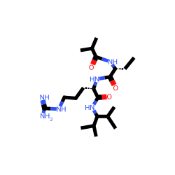 CC[C@@H](NC(=O)C(C)C)C(=O)N[C@@H](CCCNC(=N)N)C(=O)NC(C(C)C)C(C)C